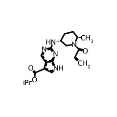 C=CC(=O)N1C[C@H](Nc2ncc3c(C(=O)OC(C)C)c[nH]c3n2)CC[C@@H]1C